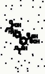 CC(=O)Nc1cccc([As](=O)(O)OO)c1.CCC(S)C(=O)O.c1nncs1